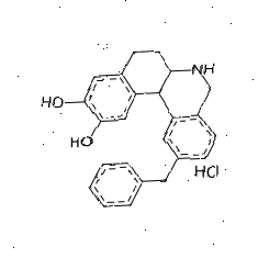 Cl.Oc1cc2c(cc1O)C1c3cc(Cc4ccccc4)ccc3CNC1CC2